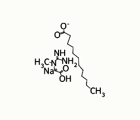 CCCCCCCCCCCC(=O)[O-].CN(CC(=O)O)C(=N)N.[Na+]